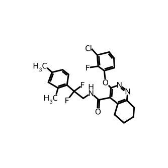 Cc1ccc(C(F)(F)CNC(=O)c2c(Oc3cccc(Cl)c3F)nnc3c2CCCC3)c(C)c1